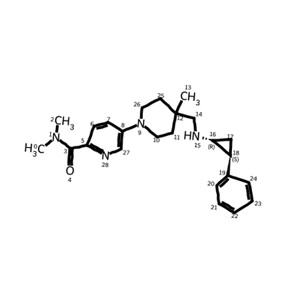 CN(C)C(=O)c1ccc(N2CCC(C)(CN[C@@H]3C[C@H]3c3ccccc3)CC2)cn1